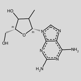 CC1C(O)[C@@H](CO)O[C@H]1n1cnc2c(N)nc(N)nc21